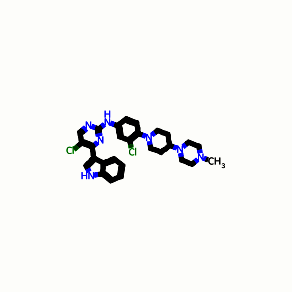 CN1CCN(C2CCN(c3ccc(Nc4ncc(Cl)c(-c5c[nH]c6ccccc56)n4)cc3Cl)CC2)CC1